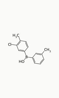 Cc1cccc(B(O)c2ccc(C)c(Cl)c2)c1